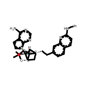 CC(C)Nc1ccc2ccc(CC[C@]34C[C@@H](n5ccc6c(N)ncnc65)[C@@]5(C3)OC(C)(C)O[C@H]45)cc2n1